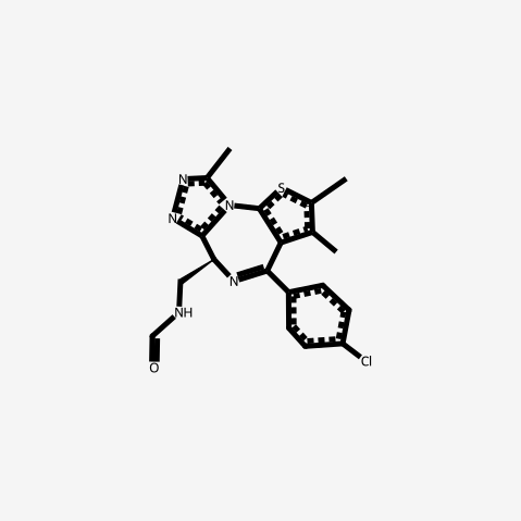 Cc1sc2c(c1C)C(c1ccc(Cl)cc1)=N[C@@H](CNC=O)c1nnc(C)n1-2